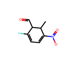 CC1C([N+](=O)[O-])=CC=C(F)C1C=O